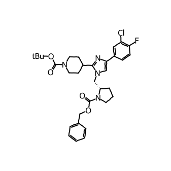 CC(C)(C)OC(=O)N1CCC(c2nc(-c3ccc(F)c(Cl)c3)cn2C[C@@H]2CCCN2C(=O)OCc2ccccc2)CC1